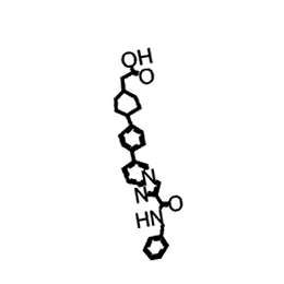 O=C(O)CC1CCC(c2ccc(-c3ccc4nc(C(=O)NCc5ccccc5)cn4c3)cc2)CC1